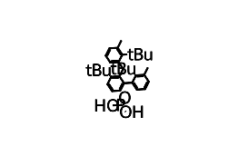 Cc1cccc(Cc2c(C(C)(C)C)ccc(OP(O)O)c2-c2cccc(C)c2C(C)(C)C)c1C(C)(C)C